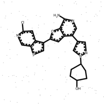 Nc1ncc(-c2cnn(C3CCC(O)CC3)c2)c2cc(-c3csc4cnc(Cl)cc34)oc12